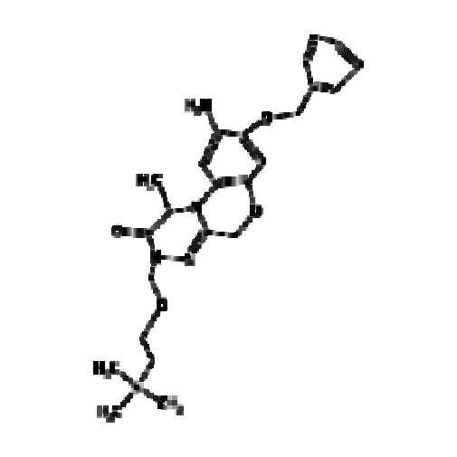 CC1C(=O)N(COCC[Si](C)(C)C)N=C2COc3cc(OCc4ccccc4)c(N)cc3N21